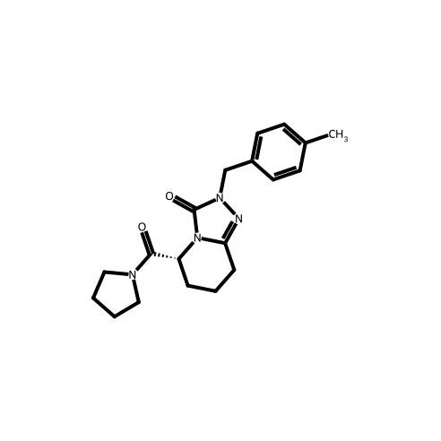 Cc1ccc(Cn2nc3n(c2=O)[C@@H](C(=O)N2CCCC2)CCC3)cc1